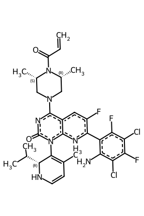 C=CC(=O)N1[C@H](C)CN(c2nc(=O)n(C3=C(C)C=CN[C@@H]3C(C)C)c3nc(-c4c(N)c(Cl)c(F)c(Cl)c4F)c(F)cc23)C[C@@H]1C